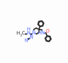 CCN/C(=N\C#N)N1CCC(CNC(=O)c2ccccc2)(c2ccccc2)CC1